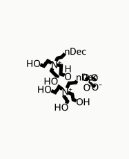 CCCCCCCCCCCC[N+](CCO)(CCO)CCO.CCCCCCCCCCCC[N+](CCO)(CCO)CCO.O=S(=O)([O-])[O-]